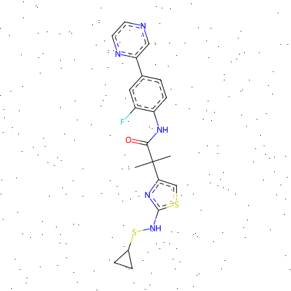 CC(C)(C(=O)Nc1ccc(-c2cnccn2)cc1F)c1csc(NSC2CC2)n1